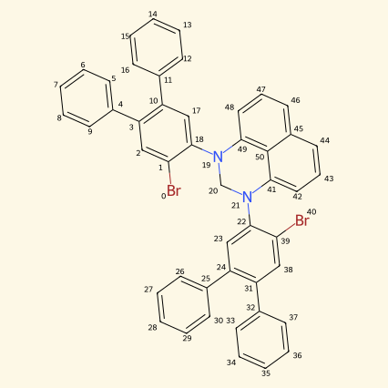 Brc1cc(-c2ccccc2)c(-c2ccccc2)cc1N1CN(c2cc(-c3ccccc3)c(-c3ccccc3)cc2Br)c2cccc3cccc1c23